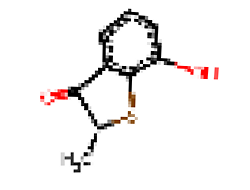 C[C@@H]1Sc2c(O)cccc2C1=O